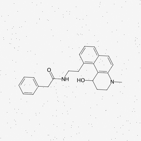 CN1CCC(O)c2c1ccc1cccc(CCNC(=O)Cc3ccccc3)c21